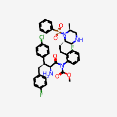 COC(=O)N(C(=O)[C@@H](N)[C@@H](Cc1ccc(F)cc1)c1ccc(Cl)cc1)c1cccc(F)c1CC[C@H]1CNC[C@H](C)N1S(=O)(=O)c1ccccc1